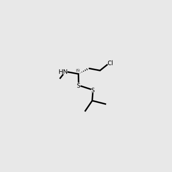 CN[C@H](CCCl)SSC(C)C